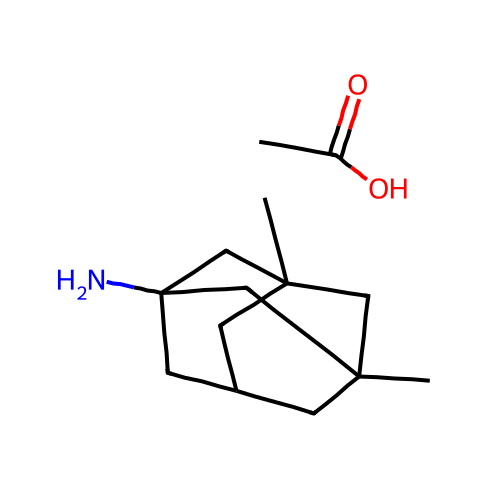 CC(=O)O.CC12CC3CC(C)(C1)CC(N)(C3)C2